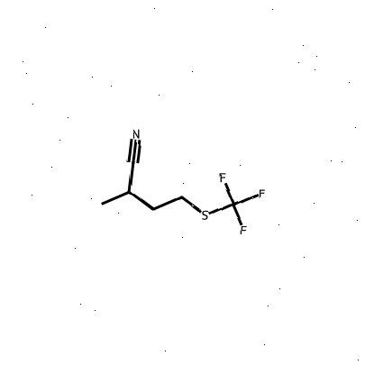 CC(C#N)CCSC(F)(F)F